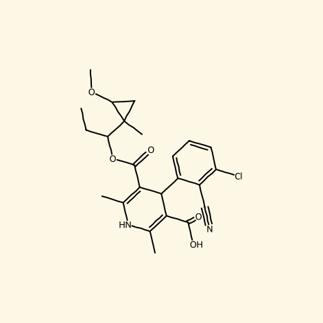 CCC(OC(=O)C1=C(C)NC(C)=C(C(=O)O)C1c1cccc(Cl)c1C#N)C1(C)CC1OC